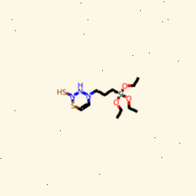 CCO[Si](CCCn1ccsn(S)[nH]1)(OCC)OCC